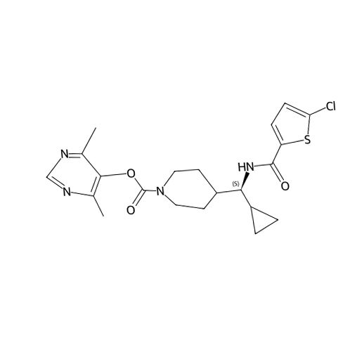 Cc1ncnc(C)c1OC(=O)N1CCC([C@@H](NC(=O)c2ccc(Cl)s2)C2CC2)CC1